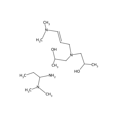 CC(O)CN(CC=CN(C)C)CC(C)O.CCC(N)N(C)C